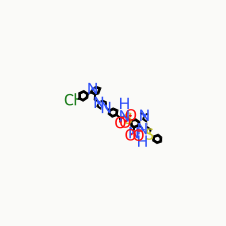 CN(C)CC[C@H](CSc1ccccc1)Nc1ccc(S(=O)(=O)NC(=O)c2ccc(N3CCN(Cc4cccnc4-c4ccc(Cl)cc4)CC3)cc2)cc1[N+](=O)[O-]